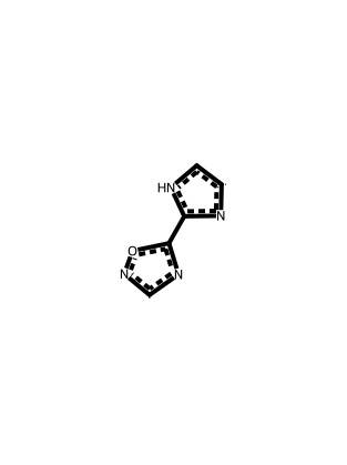 [c]1c[nH]c(-c2n[c]no2)n1